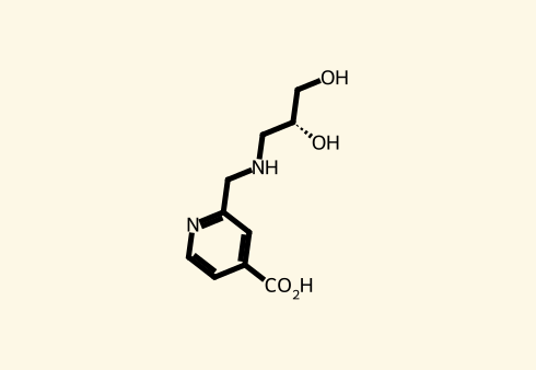 O=C(O)c1ccnc(CNC[C@@H](O)CO)c1